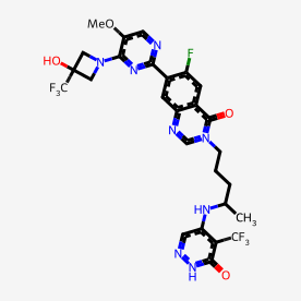 COc1cnc(-c2cc3ncn(CCCC(C)Nc4cn[nH]c(=O)c4C(F)(F)F)c(=O)c3cc2F)nc1N1CC(O)(C(F)(F)F)C1